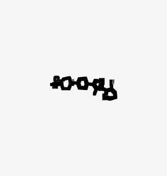 CN=S1(=O)CCN(c2ccc(-c3cnn(-c4ncccc4F)c3C)cc2)CC1